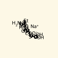 CCO/N=C(/C(=O)N[C@@H]1C(=O)N2C(C(=O)[O-])=C(CSc3nc(-c4ccc(O)c(O)c4)cs3)CS[C@H]12)c1csc(N)n1.[Na+]